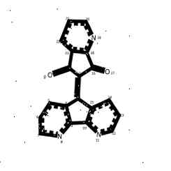 O=C1C(=C2c3cccnc3-c3ncccc32)C(=O)c2ncccc21